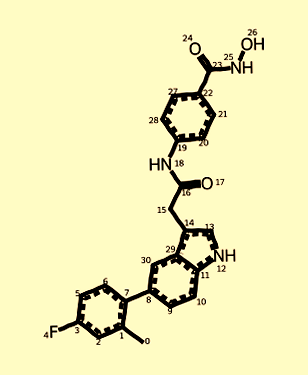 Cc1cc(F)ccc1-c1ccc2[nH]cc(CC(=O)Nc3ccc(C(=O)NO)cc3)c2c1